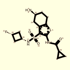 N[C@H]1CCc2sc(NC(=O)C3CC3)c(S(=O)(=O)N[C@H]3C[C@@H](F)C3)c2C1